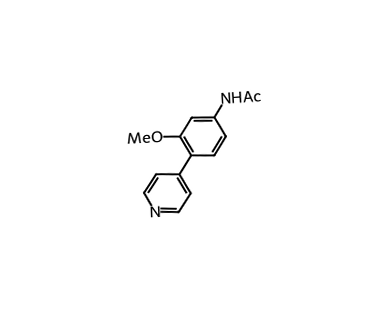 COc1cc(NC(C)=O)ccc1-c1ccncc1